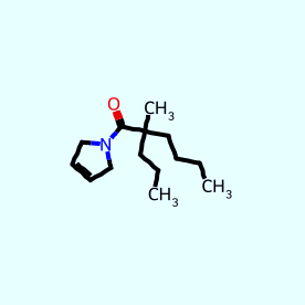 CCCCC(C)(CCC)C(=O)N1CC=CC1